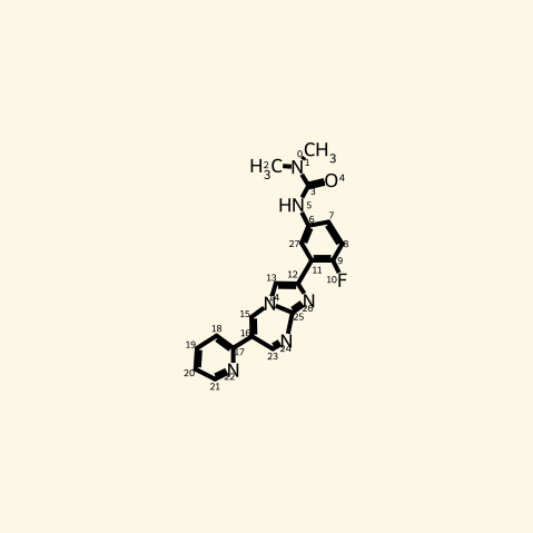 CN(C)C(=O)Nc1ccc(F)c(-c2cn3cc(-c4ccccn4)cnc3n2)c1